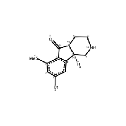 CCc1cc(SC)c2c(c1)[C@@H]1CNCCN1C2=O